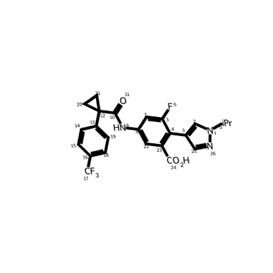 CC(C)n1cc(-c2c(F)cc(NC(=O)C3(c4ccc(C(F)(F)F)cc4)CC3)cc2C(=O)O)cn1